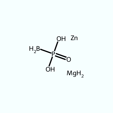 BP(=O)(O)O.[MgH2].[Zn]